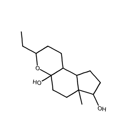 CCC1CCC2C3CCC(O)C3(C)CCC2(O)O1